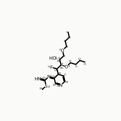 CCCCOC[C@@H](O)[C@@H](OCCCC)C(F)C1C=CN=CC1=NC(=N)SC